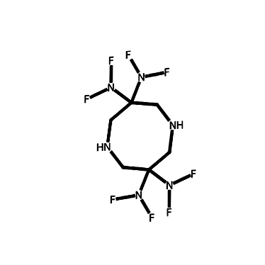 FN(F)C1(N(F)F)CNCC(N(F)F)(N(F)F)CNC1